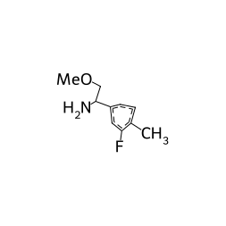 COCC(N)c1ccc(C)c(F)c1